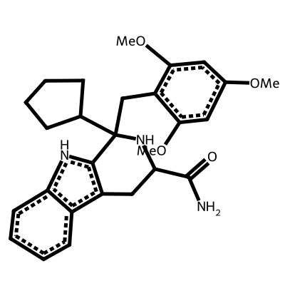 COc1cc(OC)c(CC2(C3CCCC3)NC(C(N)=O)Cc3c2[nH]c2ccccc32)c(OC)c1